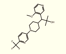 COc1ccncc1C(C1CCN(c2ccc(C(F)(F)F)nc2)CC1)C(C)(C)O